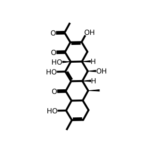 CC(=O)C1=C(O)C[C@@H]2[C@@H](O)[C@H]3C(=C(O)[C@]2(O)C1=O)C(=O)C1C(O)C(C)=CCC1[C@@H]3C